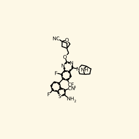 N#Cc1c(N)sc2c(F)ccc(-c3c(C(F)(F)F)cc4c(N5CC6CCC(C5)N6)nc(OCC56COC(C#N)(C5)C6)nc4c3F)c12